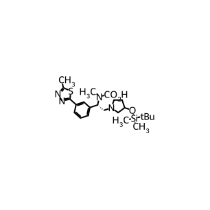 Cc1nnc(-c2cccc([C@@H](CN3CCC(O[Si](C)(C)C(C)(C)C)C3)N(C)C(=O)O)c2)s1